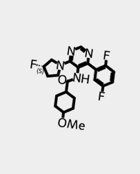 COC1CCC(C(=O)Nc2c(-c3cc(F)ccc3F)ncnc2N2CC[C@H](F)C2)CC1